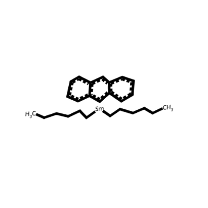 CCCCC[CH2][Sm][CH2]CCCCC.c1ccc2cc3ccccc3cc2c1